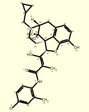 C/C(C(=O)Nc1ccc(Cl)cc1C)=C(/O)[C@@H]1Oc2c(O)ccc3c2[C@@]12CCN(CC1CC1)[C@H](C3)[C@@]2(C)O